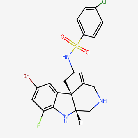 C=C1CNC[C@@H]2Nc3c(F)cc(Br)cc3[C@]12CCNS(=O)(=O)c1ccc(Cl)cc1